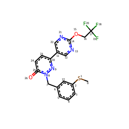 CSc1cccc(Cn2nc(-c3cnc(OCC(F)(F)F)nc3)ccc2=O)c1